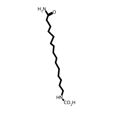 NC(=O)CCCCCCCCCCCCCCNC(=O)O